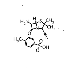 CC1(C)S[C@@H]2C(N)C(=O)N2C1C#N.Cc1ccc(S(=O)(=O)O)cc1